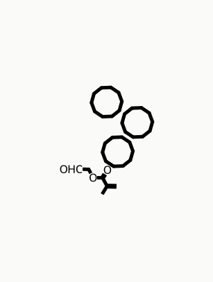 C1CCCCCCCCC1.C1CCCCCCCCC1.C1CCCCCCCCC1.C=C(C)C(=O)OCC=O